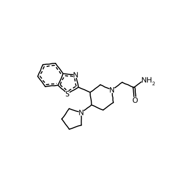 NC(=O)CN1CCC(N2CCCC2)C(c2nc3ccccc3s2)C1